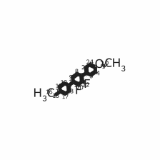 CCOc1ccc(-c2ccc(-c3ccc(CC)cc3)c(F)c2F)cc1